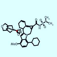 COc1ccc(C2CCCCC2)c2c1cc1n2CC2=C(C(=O)NS(=O)(=O)N(C)C)C2=C2C=CC[C@@H](C(=O)N3CC45COCC4(C3)CN(C3CC3)C5)[C@@H]21